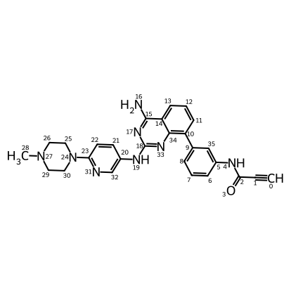 C#CC(=O)Nc1cccc(-c2cccc3c(N)nc(Nc4ccc(N5CCN(C)CC5)nc4)nc23)c1